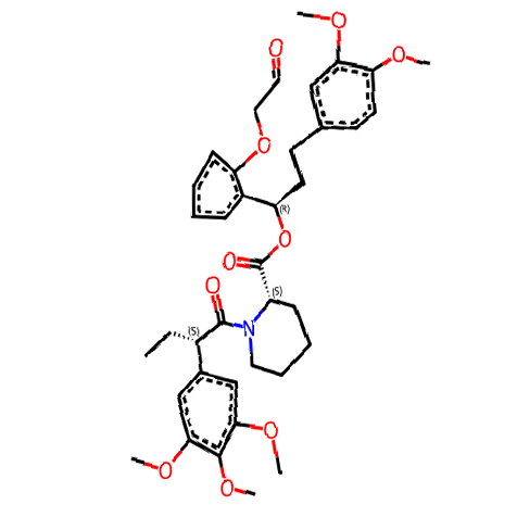 CC[C@H](C(=O)N1CCCC[C@H]1C(=O)O[C@H](CCc1ccc(OC)c(OC)c1)c1ccccc1OCC=O)c1cc(OC)c(OC)c(OC)c1